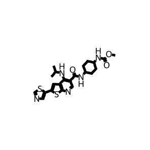 COC(=O)NC1CCC(NC(=O)c2cnc3sc(-c4cncs4)cc3c2NC(C)C)CC1